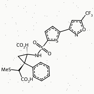 CSC(C(=O)O)[C@@]1(c2ccccc2)C[C@]1(NS(=O)(=O)c1ccc(-c2cc(C(F)(F)F)on2)s1)C(=O)O